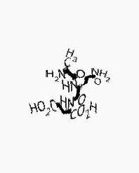 C[C@@H](N)C(=O)N[C@@H](CCC(N)=O)C(=O)N[C@@H](CCC(=O)O)C(=O)O